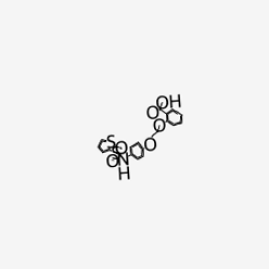 O=C(O)c1ccccc1OCCOc1ccc(NS(=O)(=O)c2cccs2)cc1